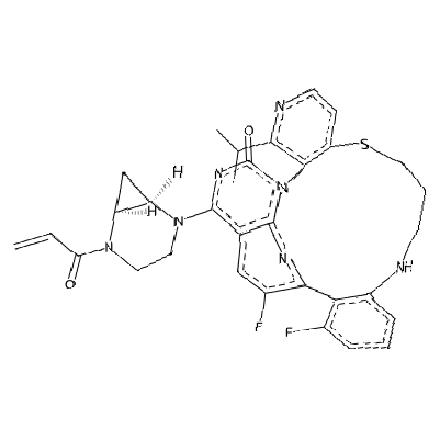 C=CC(=O)N1CCN(c2nc(=O)n3c4nc(c(F)cc24)-c2c(F)cccc2NCCCSc2ccnc(C(C)C)c2-3)[C@@H]2C[C@@H]21